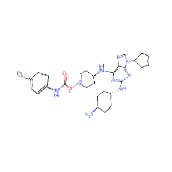 N[C@H]1CC[C@H](Nc2nc(NC3CCN(OC(=O)Nc4ccc(Cl)cc4)CC3)c3ncn(C4CCCC4)c3n2)CC1